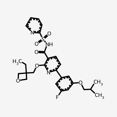 CCC1(COc2nc(-c3cc(F)cc(OCC(C)C)c3)ccc2C(=O)NS(=O)(=O)c2ccccn2)COC1